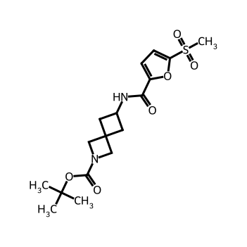 CC(C)(C)OC(=O)N1CC2(CC(NC(=O)c3ccc(S(C)(=O)=O)o3)C2)C1